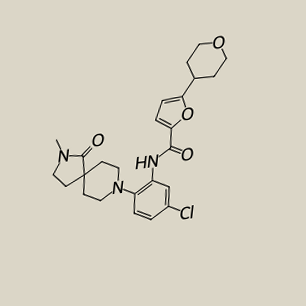 CN1CCC2(CCN(c3ccc(Cl)cc3NC(=O)c3ccc(C4CCOCC4)o3)CC2)C1=O